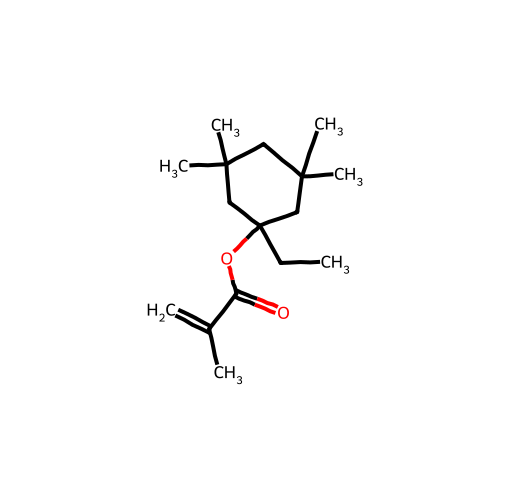 C=C(C)C(=O)OC1(CC)CC(C)(C)CC(C)(C)C1